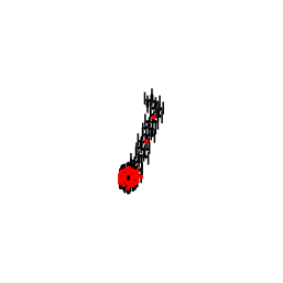 II(I)I(I)I(I)I(I)I(I)I(I)I(I)I(I)I(I)I(I)I(I)I(I)I(I)I(I)I(I)I(I)I(I)I(I)I(I)I(I)I(I)I(I)I(I)I(I)I(I)I(I)I(I)I(I)I(I)I(I)I(I)I(I)I(I)I(I)I(I)I(I)I(I)I(I)I(I)I(I)I(I)I(I)I(I)I(I)I(I)I(I)I(I)I(I)I(I)I(I)I(I)I(I)I(I)I(I)I(I)I(I)I(I)I(I)I(I)I(I)I(I)I(I)I(I)I(I)I(I)I(I)I(I)I(I)I(I)I(I)I